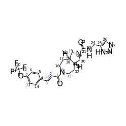 O=C(/C=C/c1ccc(OC(F)(F)F)cc1)N1CC[C@@H]2CN(C(=O)NCc3cnn[nH]3)C[C@@H]2CC1